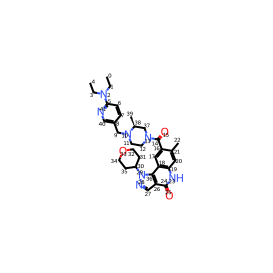 CCN(CC)c1ccc(CN2CCN(C(=O)c3cc4c(cc3C)[nH]c(=O)c3cnn(C5CCOCC5)c34)C[C@@H]2C)cn1